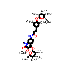 CCCCCCCCOc1c(O[C@@H]2O[C@H](COC(C)=O)[C@H](OC(C)=O)[C@H](OC(C)=O)[C@H]2OC(C)=O)c2ccc(NC(=O)/C=C/c3cc(OC)c(O[C@@H]4O[C@H](COC(C)=O)[C@H](OC(C)=O)[C@H](OC(C)=O)[C@H]4OC(C)=O)c(OC)c3)cc2n(C)c1=O